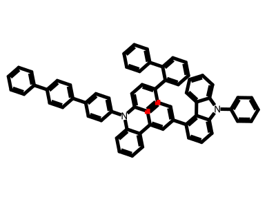 c1ccc(-c2ccc(-c3ccc(N(c4ccc(-c5ccccc5-c5ccccc5)cc4)c4ccccc4-c4cccc(-c5cccc6c5c5ccccc5n6-c5ccccc5)c4)cc3)cc2)cc1